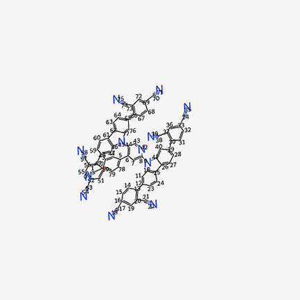 N#Cc1ccc(-c2cc(-n3c4cc(-c5ccc(C#N)cc5C#N)ccc4c4ccc(-c5ccc(C#N)cc5C#N)cc43)ncc2-n2c3cc(-c4ccc(C#N)cc4C#N)ccc3c3ccc(-c4ccc(C#N)cc4C#N)cc32)cc1